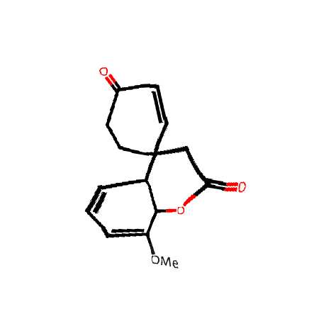 COC1=CC=CC2C1OC(=O)CC21C=CC(=O)CC1